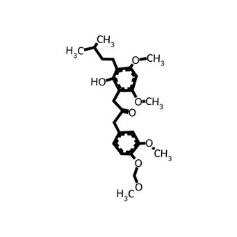 COCOc1ccc(CC(=O)Cc2c(OC)cc(OC)c(CCC(C)C)c2O)cc1OC